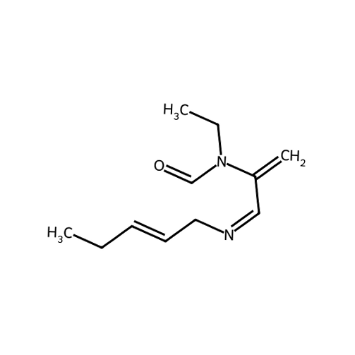 C=C(/C=N\CC=CCC)N(C=O)CC